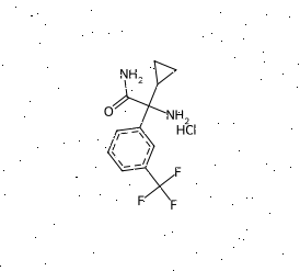 Cl.NC(=O)C(N)(c1cccc(C(F)(F)F)c1)C1CC1